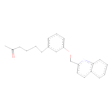 CC(=O)CCCCc1cccc(OCc2ccc3ccccc3n2)c1